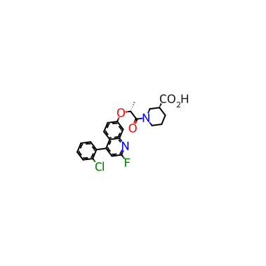 C[C@@H](Oc1ccc2c(-c3ccccc3Cl)cc(F)nc2c1)C(=O)N1CCC[C@H](C(=O)O)C1